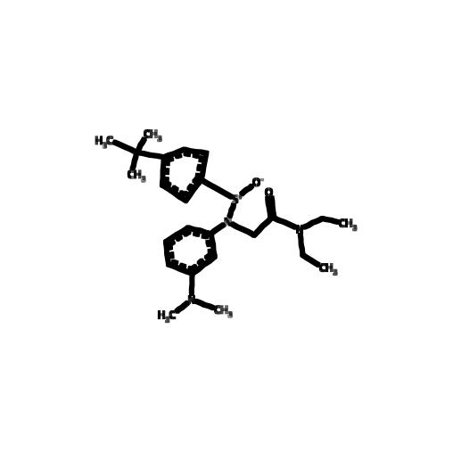 CCN(CC)C(=O)CN(c1cccc(N(C)C)c1)[S+]([O-])c1ccc(C(C)(C)C)cc1